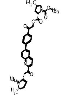 C[C@H]1C[C@@H](C(=O)OCC(=O)c2ccc(-c3ccc4nc(C(=O)C[C@@H]5CC[C@H](C)N5C(C)(C)C)ccc4c3)cc2)N(C(=O)OC(C)(C)C)C1